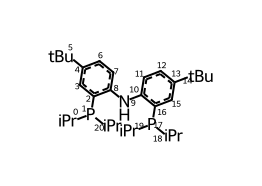 CC(C)P(c1cc(C(C)(C)C)ccc1Nc1ccc(C(C)(C)C)cc1P(C(C)C)C(C)C)C(C)C